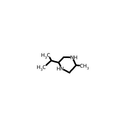 CC1CNC(C(C)C)CN1